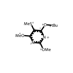 COc1nc(OC)c(SC)c(OC(C)(C)C)n1